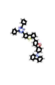 c1ccc(-c2nc(-c3ccccc3)nc(-c3ccc4sc5c(-c6ccc7c(c6)oc6ccc(-n8c9ccccc9c9ccccc98)cc67)cccc5c4c3)n2)cc1